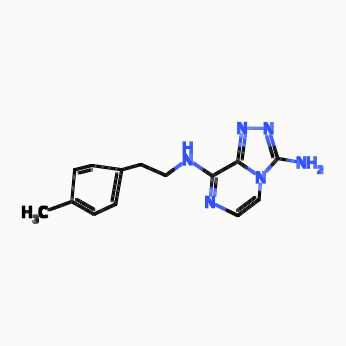 Cc1ccc(CCNc2nccn3c(N)nnc23)cc1